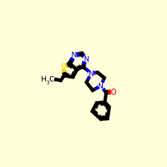 CCc1cc2c(N3CCN(C(=O)c4ccccc4)CC3)ncnc2s1